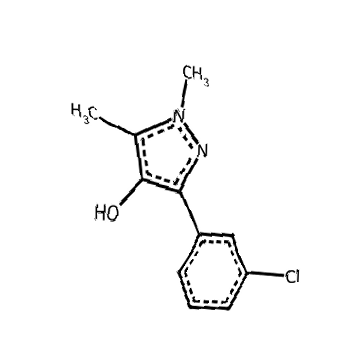 Cc1c(O)c(-c2cccc(Cl)c2)nn1C